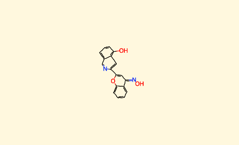 O/N=c1/cc(-c2cc3c(O)cccc3cn2)oc2ccccc12